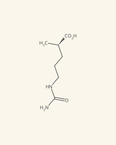 C[C@H](CCCNC(N)=O)C(=O)O